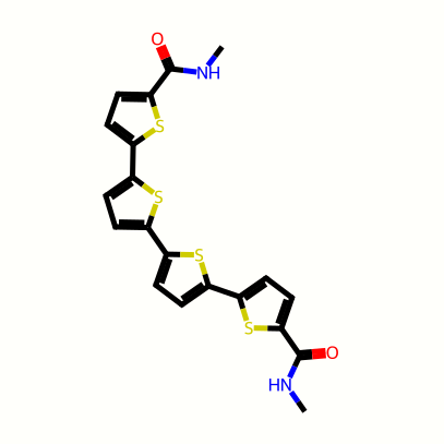 CNC(=O)c1ccc(-c2ccc(-c3ccc(-c4ccc(C(=O)NC)s4)s3)s2)s1